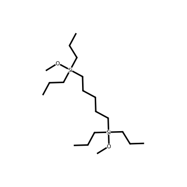 CCC[Si](CCC)(CCCCC[Si](CCC)(CCC)OC)OC